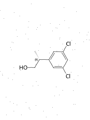 C[C@@H](CO)c1cc(Cl)cc(Cl)c1